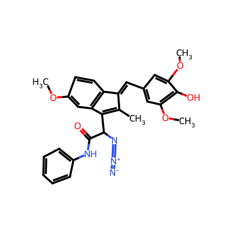 COc1ccc2c(c1)C(C(N=[N+]=[N-])C(=O)Nc1ccccc1)=C(C)/C2=C\c1cc(OC)c(O)c(OC)c1